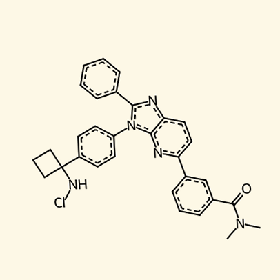 CN(C)C(=O)c1cccc(-c2ccc3nc(-c4ccccc4)n(-c4ccc(C5(NCl)CCC5)cc4)c3n2)c1